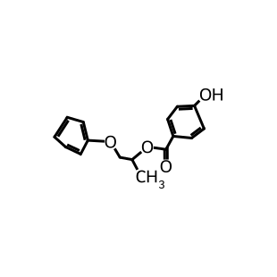 CC(COc1ccccc1)OC(=O)c1ccc(O)cc1